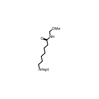 CCCCCCCCCCCCCC(=O)NCOC